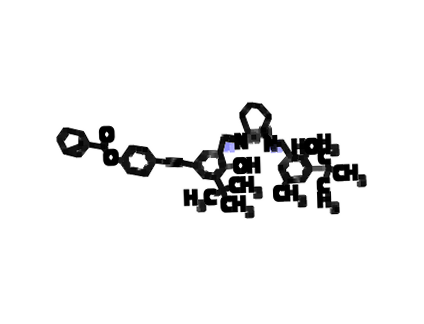 Cc1cc(/C=N/[C@@H]2CCCC[C@H]2/N=C/c2cc(C#Cc3ccc(OC(=O)C4CC5C=CC4C5)cc3)cc(C(C)(C)C)c2O)c(O)c(C(C)(C)C)c1